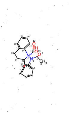 CC(=O)N(c1ccccc1)[N@@+]1(C(=O)O)c2ccccc2CC[C@@H]1C